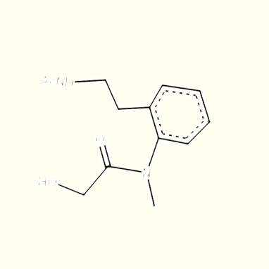 CC(=O)NCCc1ccccc1N(C)C(=O)CO